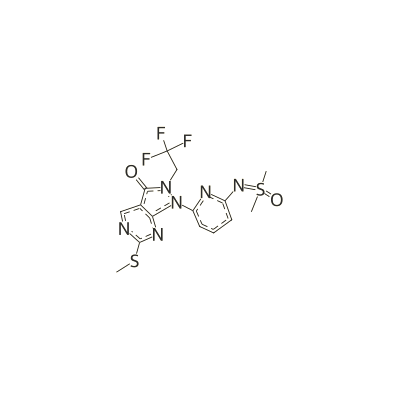 CSc1ncc2c(=O)n(CC(F)(F)F)n(-c3cccc(N=S(C)(C)=O)n3)c2n1